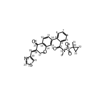 CN(C(=O)c1ccccc1-c1ccc2c(c1)OC/C(=C\c1cscn1)C2=O)S(=O)(=O)C1(C)CC1